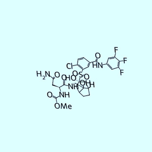 COC(=O)N[C@@H](CC(N)=O)C(=O)NC[C@@]1(O)C2CC[C@H]1C[C@](O)(S(=O)(=O)c1cc(C(=O)Nc3cc(F)c(F)c(F)c3)ccc1Cl)C2